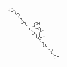 CC(O)COC(C)CO.OCCOCCOCCOCCOCCOCCOCCOCCO